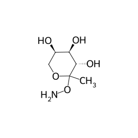 CC1(ON)OC[C@@H](O)[C@@H](O)[C@@H]1O